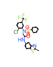 Cc1nc2cc(NC(=O)CN(c3cc(C(F)(F)F)ccc3Cl)S(=O)(=O)c3ccccc3)ccc2s1